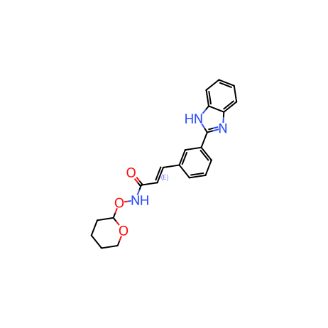 O=C(/C=C/c1cccc(-c2nc3ccccc3[nH]2)c1)NOC1CCCCO1